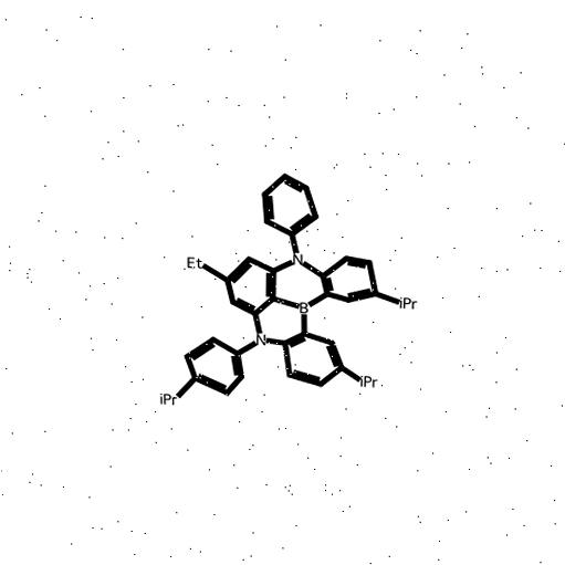 CCc1cc2c3c(c1)N(c1ccc(C(C)C)cc1)c1ccc(C(C)C)cc1B3c1cc(C(C)C)ccc1N2c1ccccc1